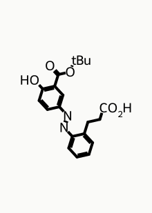 CC(C)(C)OC(=O)c1cc(/N=N/c2ccccc2CCC(=O)O)ccc1O